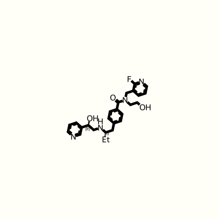 CC[C@@H](Cc1ccc(C(=O)N(CCO)Cc2cccnc2F)cc1)NC[C@H](O)c1cccnc1